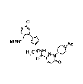 CNCc1ccc(Cl)cc1-c1ccc([C@@H](C)NC(=O)c2ccc(=O)n(C3CCN(C(C)=O)CC3)n2)s1